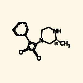 C[C@@H]1CN(c2c(-c3ccccc3)c(=O)c2=O)CCN1